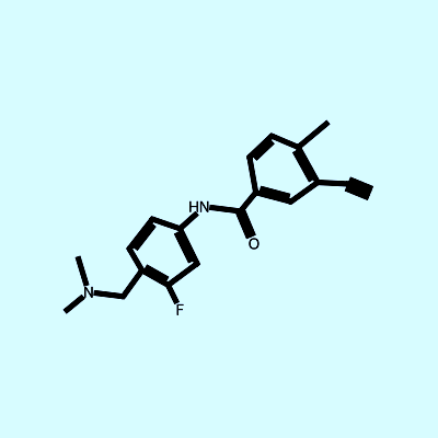 C#Cc1cc(C(=O)Nc2ccc(CN(C)C)c(F)c2)ccc1C